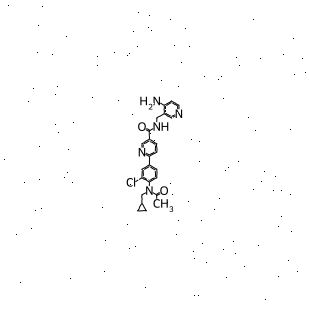 CC(=O)N(CC1CC1)c1ccc(-c2ccc(C(=O)NCc3cnccc3N)cn2)cc1Cl